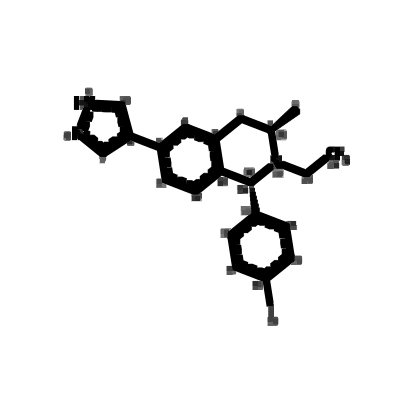 C[C@@H]1Cc2cc(-c3cn[nH]c3)ccc2[C@@H](c2ccc(I)cc2)N1CC(F)(F)F